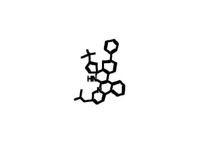 CC(C)CC1=CC=C2c3ccccc3C3=C(N[C@@]4(C=CC(C(C)(C)C)=C4)c4cc(-c5ccccc5)ccc43)N2C1